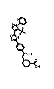 O=C(O)[C@H]1CCCN(C[C@H](O)c2ccc(-c3noc(-c4cnn(-c5ccccn5)c4C(F)(F)F)n3)cc2)C1